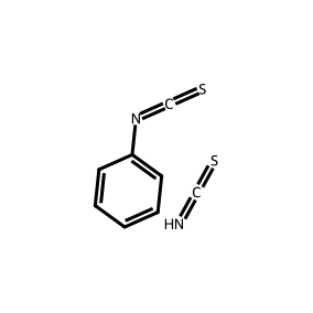 N=C=S.S=C=Nc1ccccc1